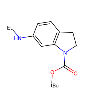 CCNc1ccc2c(c1)N(C(=O)OC(C)(C)C)CC2